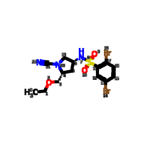 CCOC[C@H]1C[C@@H](NS(=O)(=O)c2cc(Br)ccc2Br)CN1C#N